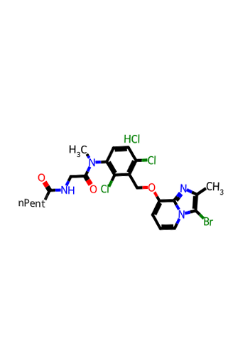 CCCCCC(=O)NCC(=O)N(C)c1ccc(Cl)c(COc2cccn3c(Br)c(C)nc23)c1Cl.Cl